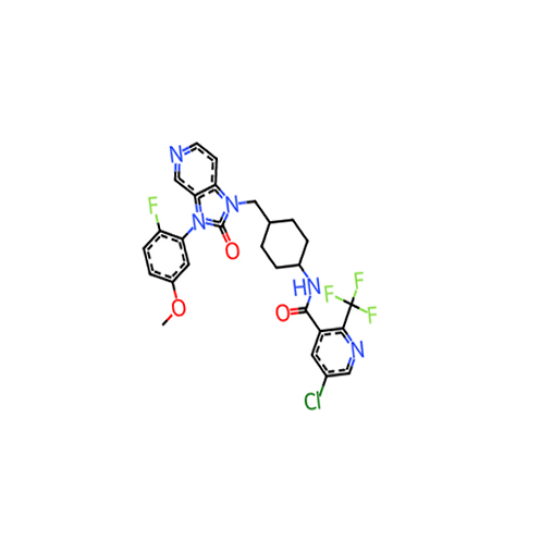 COc1ccc(F)c(-n2c(=O)n(CC3CCC(NC(=O)c4cc(Cl)cnc4C(F)(F)F)CC3)c3ccncc32)c1